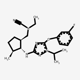 CCN(C#N)C[C@@H]1CC[C@H](C)[C@H]1Nc1nc(Oc2cccc(F)c2)n(C(C)C)n1